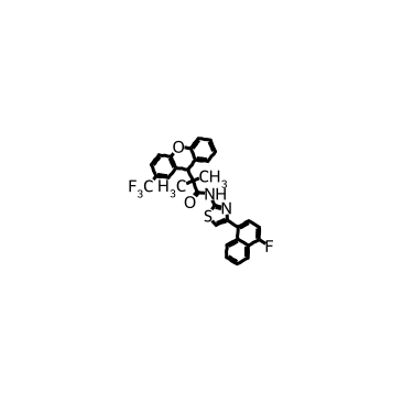 CC(C)(C(=O)Nc1nc(-c2ccc(F)c3ccccc23)cs1)C1c2ccccc2Oc2ccc(C(F)(F)F)cc21